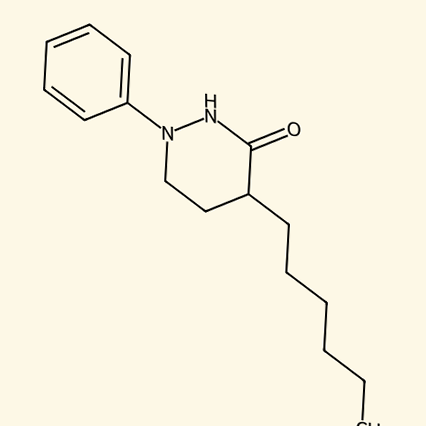 CCCCCCC1CCN(c2ccccc2)NC1=O